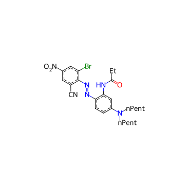 CCCCCN(CCCCC)c1ccc(N=Nc2c(Br)cc([N+](=O)[O-])cc2C#N)c(NC(=O)CC)c1